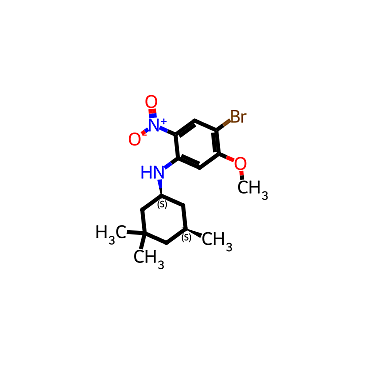 COc1cc(N[C@H]2C[C@@H](C)CC(C)(C)C2)c([N+](=O)[O-])cc1Br